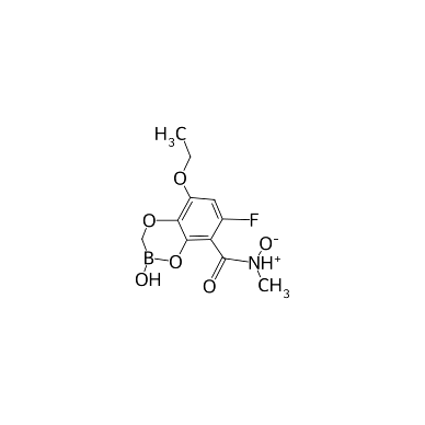 CCOc1cc(F)c(C(=O)[NH+](C)[O-])c2c1OCB(O)O2